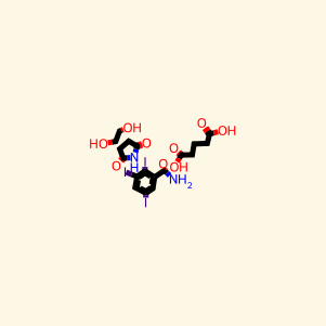 NC(=O)c1cc(I)cc(I)c1I.O=C(O)CCCC(=O)O.O=C1CCC(=O)N1.OCCO